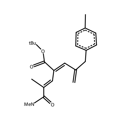 C=C(/C=C(\C=C(/C)C(=O)NC)C(=O)OC(C)(C)C)Cc1ccc(C)cc1